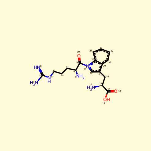 N=C(N)NCCC[C@H](N)C(=O)n1cc(C[C@H](N)C(=O)O)c2ccccc21